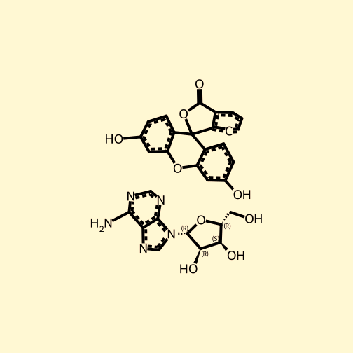 Nc1ncnc2c1ncn2[C@@H]1O[C@H](CO)[C@@H](O)[C@H]1O.O=C1OC2(c3ccc(O)cc3Oc3cc(O)ccc32)c2ccccc21